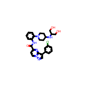 O=C(Nc1ccccc1N1CCC(NC(CO)CO)CC1)c1ccn2ncc(-c3cccc(Cl)c3)c2n1